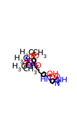 CC(C)S(=O)(=O)c1ccc(NC(=O)CCCc2ccc(C(Nc3ccc4nc[nH]c(=O)c4c3)C(=O)O)cc2)cc1CN(C)C(=O)OC(C)(C)C